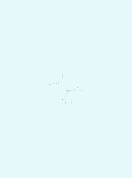 CCBC(=N)N